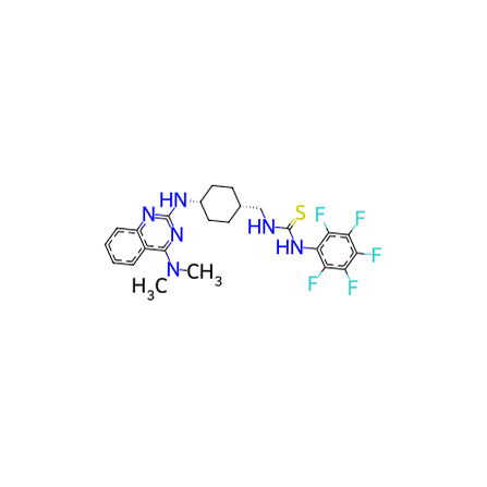 CN(C)c1nc(N[C@H]2CC[C@@H](CNC(=S)Nc3c(F)c(F)c(F)c(F)c3F)CC2)nc2ccccc12